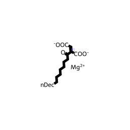 CCCCCCCCCCCCCCCCCC(=O)/C(=C\C(=O)[O-])C(=O)[O-].[Mg+2]